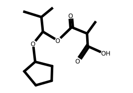 CC(C(=O)O)C(=O)OC(OC1CCCC1)C(C)C